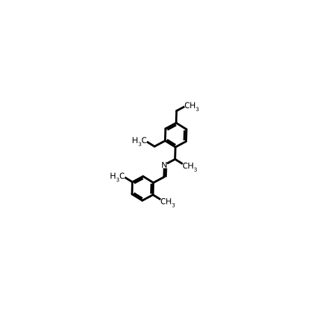 CCc1ccc(C(C)N=Cc2cc(C)ccc2C)c(CC)c1